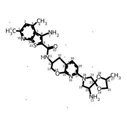 Cc1cc(C)c2c(N)c(C(=O)NC3COc4nc(N5CC(N)C6(C5)OCC(C)O6)ccc4C3)sc2n1